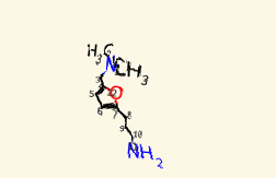 CN(C)Cc1ccc(CCCN)o1